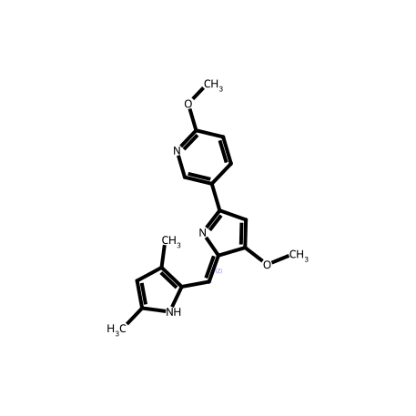 COC1=CC(c2ccc(OC)nc2)=N/C1=C\c1[nH]c(C)cc1C